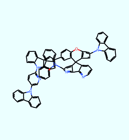 c1cnc2c(c1)C1(c3ccc(-n4c5ccccc5c5ccccc54)cc3Oc3ccc(-c4ccc5c(c4)c4ccccc4n5-c4ccc(-n5c6ccccc6c6ccccc65)cn4)cc31)c1cc(-n3c4ccccc4c4ccccc43)cnc1-2